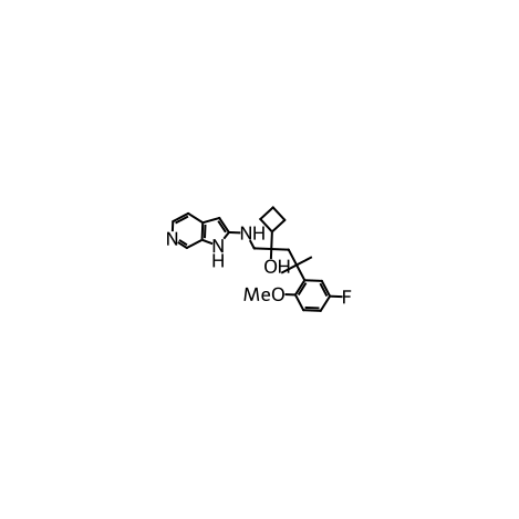 COc1ccc(F)cc1C(C)(C)CC(O)(CNc1cc2ccncc2[nH]1)C1CCC1